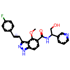 COc1c(C(=O)NC(CO)c2cccnc2)ccc2[nH]nc(/C=C/c3ccc(F)cc3)c12